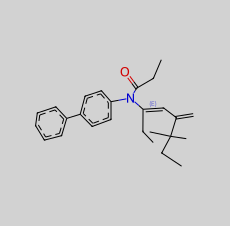 C=C(/C=C(\CC)N(C(=O)CC)c1ccc(-c2ccccc2)cc1)C(C)(C)CC